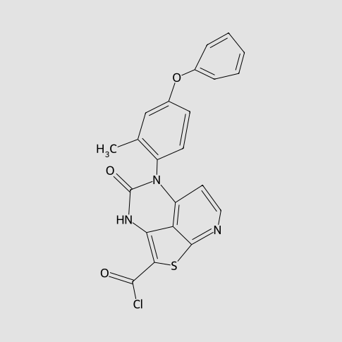 Cc1cc(Oc2ccccc2)ccc1N1C(=O)Nc2c(C(=O)Cl)sc3nccc1c23